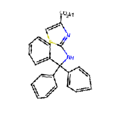 CCOC(=O)c1csc(NC(c2ccccc2)(c2ccccc2)c2ccccc2)n1